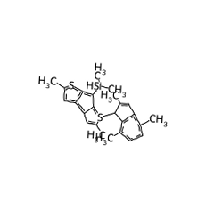 CC1=Cc2c(C)ccc(C)c2C1S1=C2C(=c3cc(C)sc3=C2[SiH](C)C)C=C1C